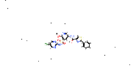 COc1ncc(NC(=O)c2csc(-c3ccccc3)n2)cc1S(=O)(=O)Nc1ncc(Cl)cn1